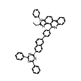 CCc1nc2c3c(-c4ccc(-c5ccc6cc(-c7nc(-c8ccccc8)nc(-c8ccccc8)n7)ccc6c5)cc4)nc4ccccc4c3ccc2n1-c1ccccc1